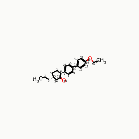 CCC[C@@H]1CC[C@@H](c2ccc(-c3ccc(OCC)cc3)cc2)C(=O)C1